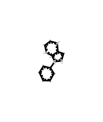 c1ccc(-n2ncc3nccnc32)cc1